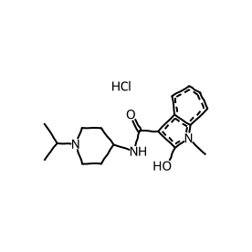 CC(C)N1CCC(NC(=O)c2c(O)n(C)c3ccccc23)CC1.Cl